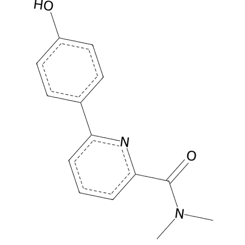 CN(C)C(=O)c1cccc(-c2ccc(O)cc2)n1